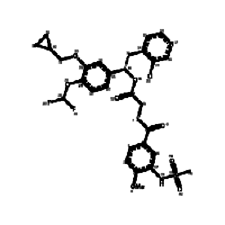 COc1ccc(C(=O)SCC(=O)O[C@@H](Cc2ccncc2Cl)c2ccc(OC(F)F)c(OCC3CC3)c2)cc1NS(C)(=O)=O